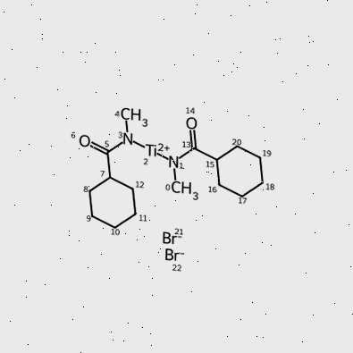 C[N]([Ti+2][N](C)C(=O)C1CCCCC1)C(=O)C1CCCCC1.[Br-].[Br-]